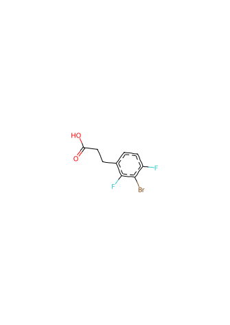 O=C(O)CCc1ccc(F)c(Br)c1F